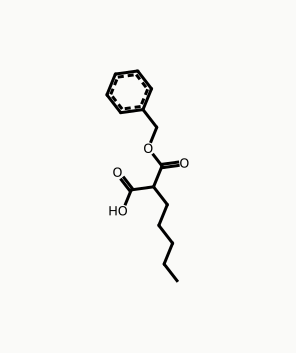 CCCCCC(C(=O)O)C(=O)OCc1ccccc1